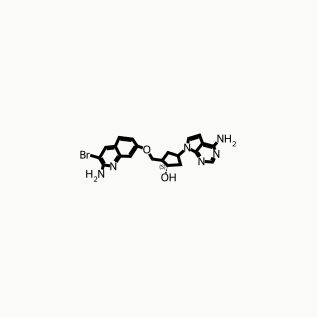 Nc1nc2cc(OCC3CC(n4ccc5c(N)ncnc54)C[C@@H]3O)ccc2cc1Br